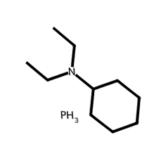 CCN(CC)C1CCCCC1.P